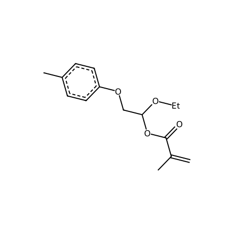 C=C(C)C(=O)OC(COc1ccc(C)cc1)OCC